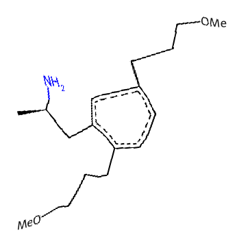 COCCCc1ccc(CCCOC)c(C[C@@H](C)N)c1